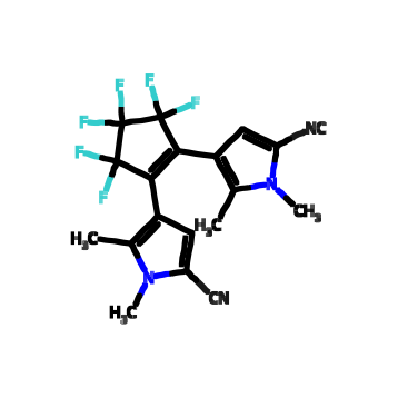 [C-]#[N+]c1cc(C2=C(c3cc(C#N)n(C)c3C)C(F)(F)C(F)(F)C2(F)F)c(C)n1C